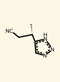 C[C@@H](CC#N)c1cnn[nH]1